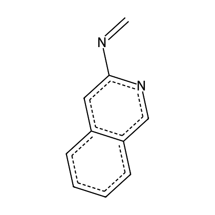 C=Nc1cc2ccccc2cn1